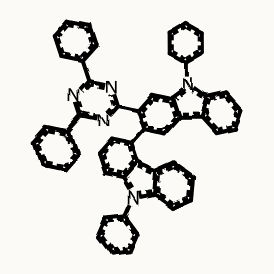 c1ccc(-c2nc(-c3ccccc3)nc(-c3cc4c(cc3-c3cccc5c3c3ccccc3n5-c3ccccc3)c3ccccc3n4-c3ccccc3)n2)cc1